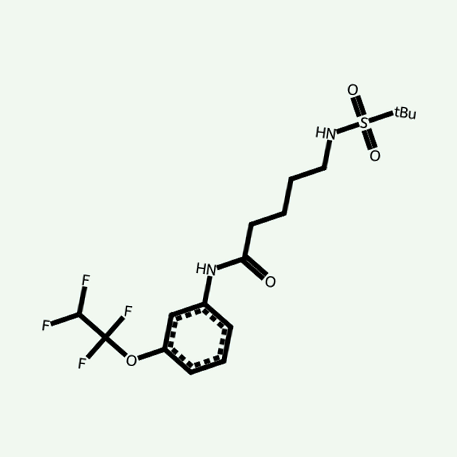 CC(C)(C)S(=O)(=O)NCCCCC(=O)Nc1cccc(OC(F)(F)C(F)F)c1